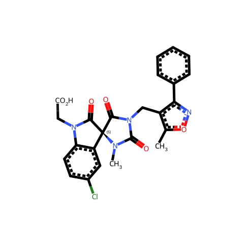 Cc1onc(-c2ccccc2)c1CN1C(=O)N(C)[C@]2(C1=O)C(=O)N(CC(=O)O)c1ccc(Cl)cc12